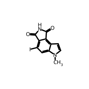 Cn1ccc2c3c(c(I)cc21)C(=O)NC3=O